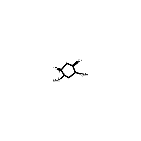 COC1CC(OC)C(=O)CC1=O